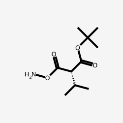 CC(C)[C@H](C(=O)ON)C(=O)OC(C)(C)C